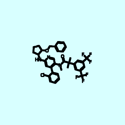 CN(C(=O)C(C)(C)c1cc(C(F)(F)F)cc(C(F)(F)F)c1)c1cnc(NC2CCCC2OCc2ccccc2)cc1-c1ccccc1Cl